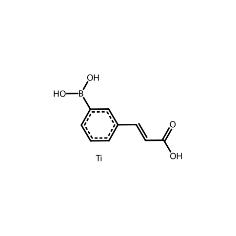 O=C(O)C=Cc1cccc(B(O)O)c1.[Ti]